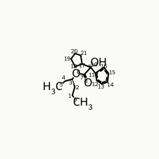 CCC[C@@H](CC)OC(=O)[C@](O)(c1ccccc1)C1CCCC1